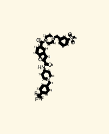 CS(=O)(=O)c1cccc(CN2CCN(C(=O)c3ccc4oc(C(=O)NC5CCN(Cc6ccc(C(F)(F)F)cc6)CC5)cc4c3)CC2)c1